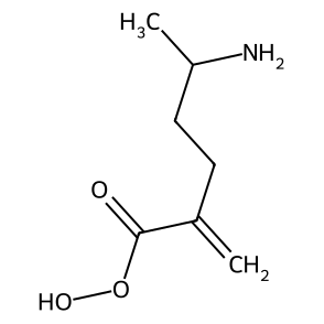 C=C(CCC(C)N)C(=O)OO